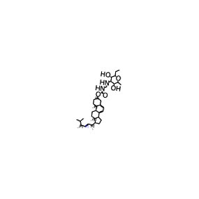 CCC1OC(C)C(O)C(NCNC(=O)O[C@H]2CC[C@@]3(C)C(=CC=C4C5CCC([C@H](C)/C=C/[C@H](C)C(C)C)[C@@]5(C)CCC43)C2)C1O